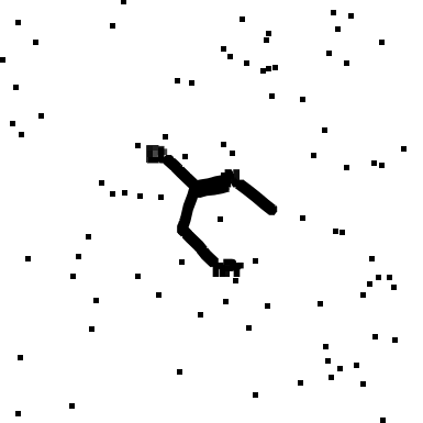 [CH2]CC(CCCC)=NC